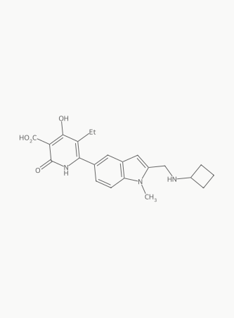 CCc1c(-c2ccc3c(c2)cc(CNC2CCC2)n3C)[nH]c(=O)c(C(=O)O)c1O